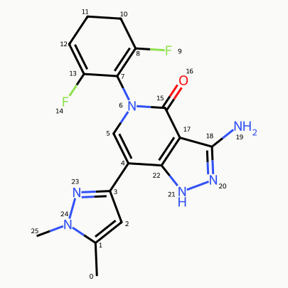 Cc1cc(-c2cn(C3=C(F)CCC=C3F)c(=O)c3c(N)n[nH]c23)nn1C